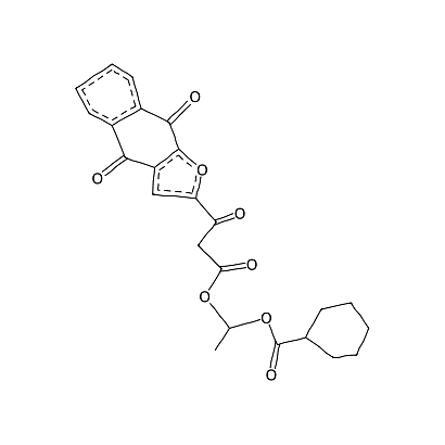 CC(OC(=O)CC(=O)c1cc2c(o1)C(=O)c1ccccc1C2=O)OC(=O)C1CCCCC1